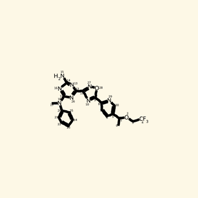 CC(OCC(F)(F)F)c1ccc(-c2nc(-c3nc(N)nc(N(C)c4ccccc4)n3)no2)nc1